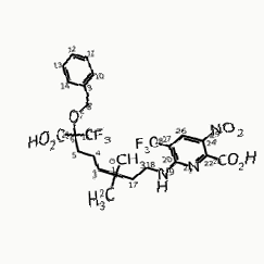 CC(C)(CCCC(OCc1ccccc1)(C(=O)O)C(F)(F)F)CCNc1nc(C(=O)O)c([N+](=O)[O-])cc1C(F)(F)F